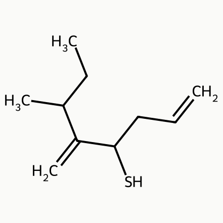 C=CCC(S)C(=C)C(C)CC